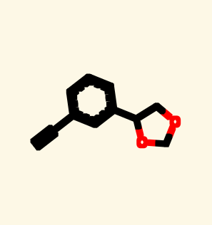 C#Cc1cccc(C2COCO2)c1